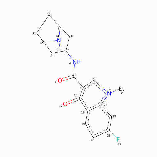 CCn1cc(C(=O)NC2CC3CCC(C2)N3C)c(=O)c2ccc(F)cc21